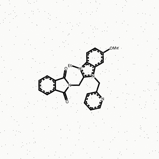 CC[n+]1c(CN2C(=O)c3ccccc3C2=O)n(Cc2ccccn2)c2cc(OC)ccc21